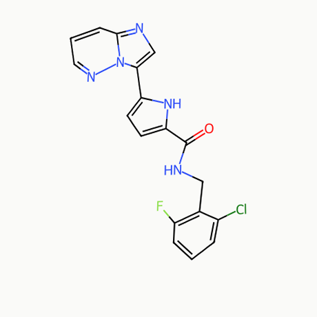 O=C(NCc1c(F)cccc1Cl)c1ccc(-c2cnc3cccnn23)[nH]1